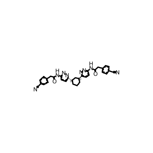 N#Cc1ccc(CC(=O)Nc2ccc([C@H]3CCC[C@H](c4ccc(NC(=O)Cc5ccc(C#N)cc5)nn4)C3)nn2)cc1